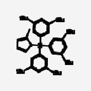 CC1=CC=C[C]1[Si](c1cc(C(C)(C)C)cc(C(C)(C)C)c1)(c1cc(C(C)(C)C)cc(C(C)(C)C)c1)c1cc(C(C)(C)C)cc(C(C)(C)C)c1